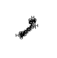 CS(=O)(=O)Nc1cc([C@@H](O)CNC2CCN(c3ccc(S(=O)(=O)N4CC(=O)NC4=O)cc3)CC2)ccc1O